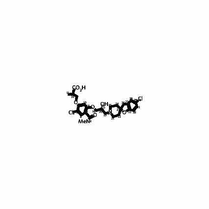 CNC(=O)c1cc(Cl)c(OCC(C)C(=O)O)cc1OC[C@H](O)CN1CCC2(CC1)Cc1cc(Cl)ccc1O2